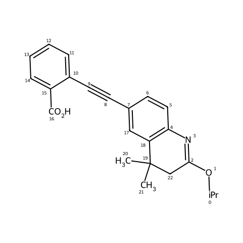 CC(C)OC1=Nc2ccc(C#Cc3ccccc3C(=O)O)cc2C(C)(C)C1